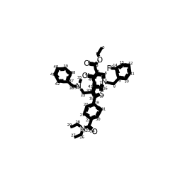 CCOC(=O)c1cn(Cc2ccccc2F)c2sc(-c3ccc(C(=O)N(CC)CC)cc3)c(CN(C)Cc3ccccc3)c2c1=O